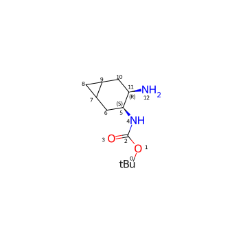 CC(C)(C)OC(=O)N[C@H]1CC2CC2C[C@H]1N